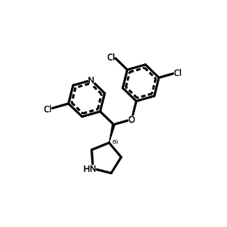 Clc1cc(Cl)cc(OC(c2cncc(Cl)c2)[C@H]2CCNC2)c1